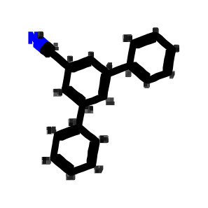 N#Cc1cc(-c2ccccc2)cc(-c2ccccc2)c1